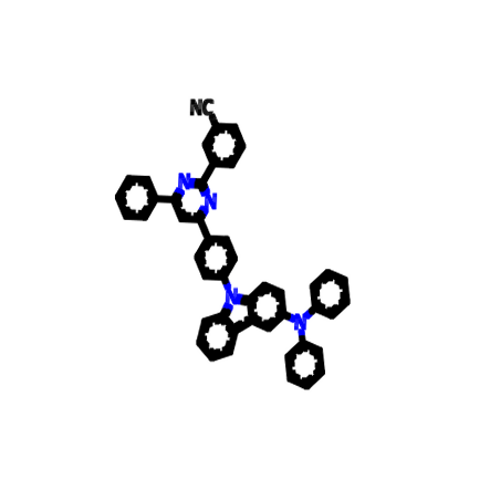 N#Cc1cccc(-c2nc(-c3ccccc3)cc(-c3ccc(-n4c5ccccc5c5cc(N(c6ccccc6)c6ccccc6)ccc54)cc3)n2)c1